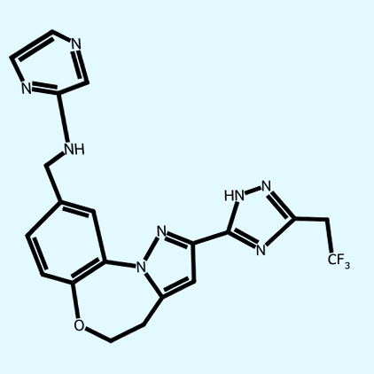 FC(F)(F)Cc1n[nH]c(-c2cc3n(n2)-c2cc(CNc4cnccn4)ccc2OCC3)n1